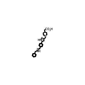 O=C(O)CC1CCN(CC2CC(c3ccc(C=NNCc4ccccc4)cc3)NO2)CC1